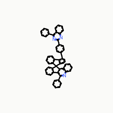 c1ccc(-c2nc3ccccc3c3c2-c2ccccc2C32c3ccccc3-c3c(-c4ccc(-c5nc(-c6ccccc6)c6ccccc6n5)cc4)cccc32)cc1